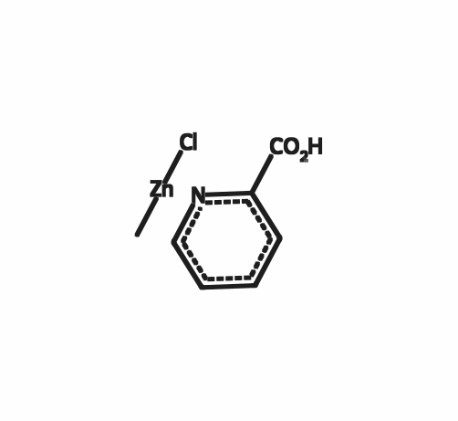 O=C(O)c1ccccn1.[CH3][Zn][Cl]